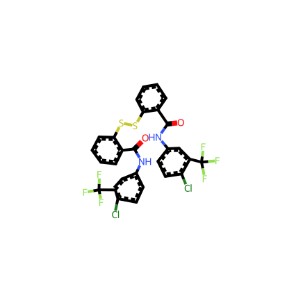 O=C(Nc1ccc(Cl)c(C(F)(F)F)c1)c1ccccc1SSc1ccccc1C(=O)Nc1ccc(Cl)c(C(F)(F)F)c1